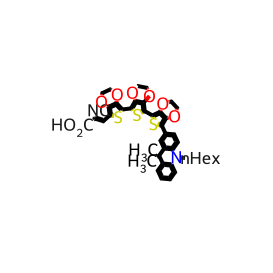 [C-]#[N+]/C(=C\c1sc(-c2sc(-c3sc(-c4ccc5c(c4)C(C)(C)c4ccccc4N5CCCCCC)c4c3OCCO4)c3c2OCCO3)c2c1OCCO2)C(=O)O